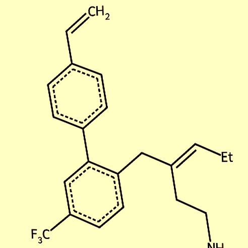 C=Cc1ccc(-c2cc(C(F)(F)F)ccc2C/C(=C/CC)CCN)cc1